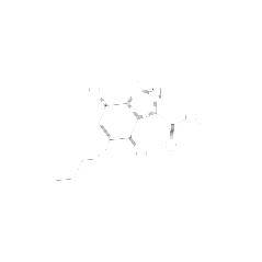 CCCSC1=CC(=O)c2onc(C(=O)OC)c2C1=O